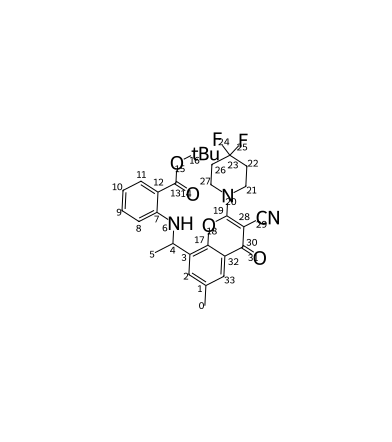 Cc1cc(C(C)Nc2ccccc2C(=O)OC(C)(C)C)c2oc(N3CCC(F)(F)CC3)c(C#N)c(=O)c2c1